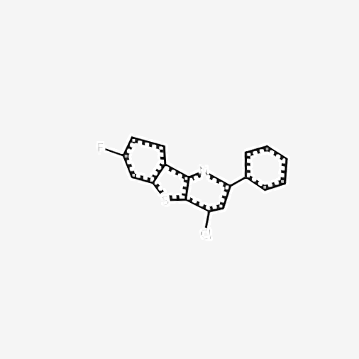 Fc1ccc2c(c1)sc1c(Cl)cc(-c3ccccc3)nc12